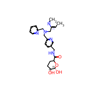 C=N/C(=C\C)CN(Cc1ccccn1)Cc1ccc(CNC(=O)C2CC[C@@H](O)[C@@H](O)O2)cn1